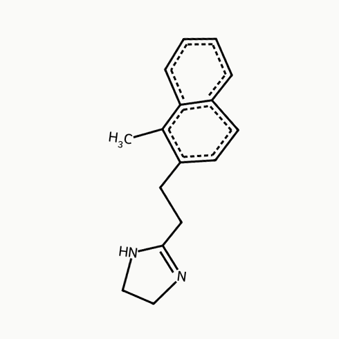 Cc1c(CCC2=NCCN2)ccc2ccccc12